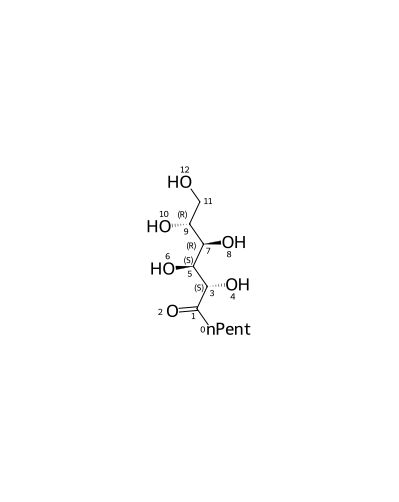 CCCCCC(=O)[C@@H](O)[C@@H](O)[C@H](O)[C@H](O)CO